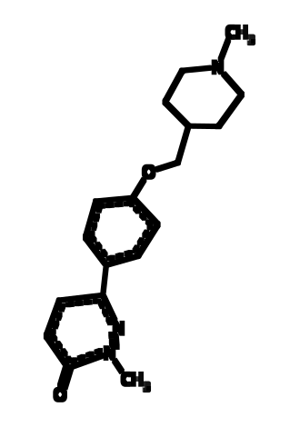 CN1CCC(COc2ccc(-c3ccc(=O)n(C)n3)cc2)CC1